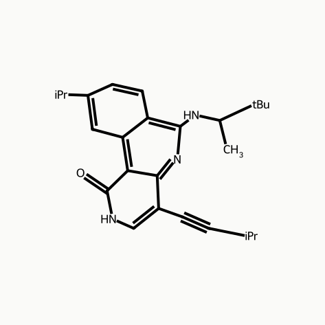 CC(C)C#Cc1c[nH]c(=O)c2c1nc(NC(C)C(C)(C)C)c1ccc(C(C)C)cc12